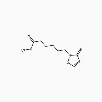 NOC(=O)CCCCCn1occc1=O